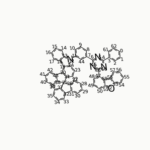 c1ccc(-c2nc(-c3cccc(-n4c5ccccc5c5c6c(ccc54)C4(c5ccccc5-c5ccccc54)c4ccccc4-6)c3)nc(-c3cccc4oc5ccccc5c34)n2)cc1